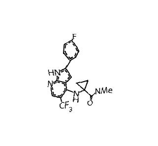 CNC(=O)C1(Nc2c(C(F)(F)F)cnc3[nH]c(-c4ccc(F)cc4)cc23)CC1